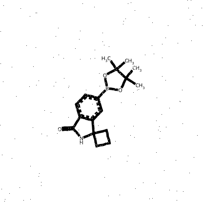 CC1(C)OB(c2ccc3c(c2)C2(CCC2)NC3=O)OC1(C)C